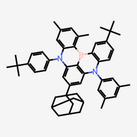 Cc1cc(C)cc(N2c3ccc(C(C)(C)C)cc3B3c4c(C)cc(C)cc4N(c4ccc(C(C)(C)C)cc4)c4cc(C56CC7CC(CC(C7)C5)C6)cc2c43)c1